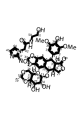 COc1cc([C@@H]2c3cc4c(cc3[C@@H](O[C@@H]3O[C@@H]5CO[C@@H](C)O[C@H]5[C@H](O)[C@H]3O)[C@H]3COC(=O)[C@H]23)OCO4)cc(OC)c1O.O=C(Cn1ccnc1[N+](=O)[O-])NCCO